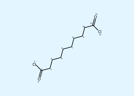 O=C(Cl)CCCCCCCCC(=O)Cl